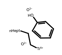 CCCCCCCC[CH2][Ti+4].Oc1ccccc1.[O-2].[O-2]